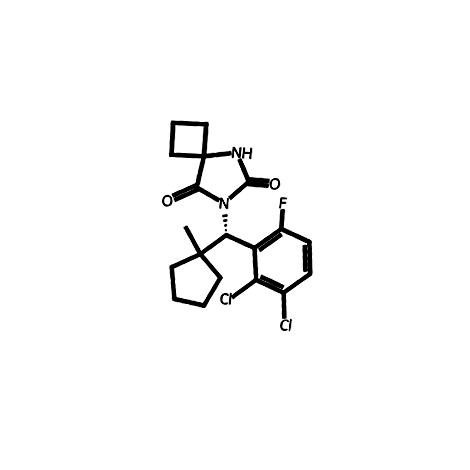 CC1([C@@H](c2c(F)ccc(Cl)c2Cl)N2C(=O)NC3(CCC3)C2=O)CCCC1